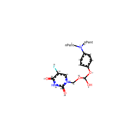 CCCCCN(CCCCC)c1ccc(OC(O)OCn2cc(F)c(=O)[nH]c2=O)cc1